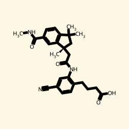 CNC(=O)c1ccc2c(c1)[C@@](C)(CC(=O)Nc1cc(C#N)ccc1CCCC(=O)O)CC2(C)C